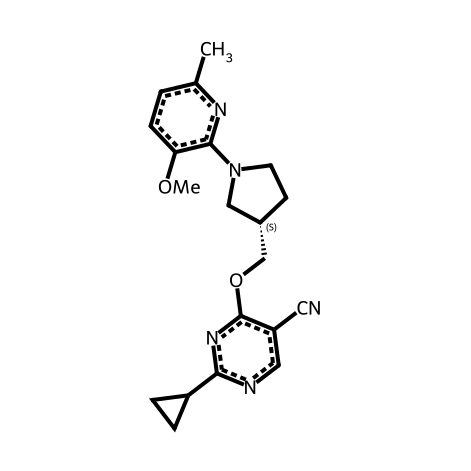 COc1ccc(C)nc1N1CC[C@H](COc2nc(C3CC3)ncc2C#N)C1